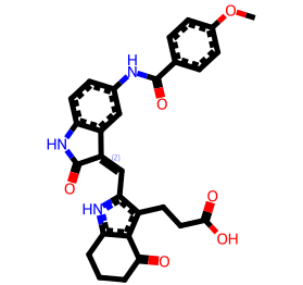 COc1ccc(C(=O)Nc2ccc3c(c2)/C(=C/c2[nH]c4c(c2CCC(=O)O)C(=O)CCC4)C(=O)N3)cc1